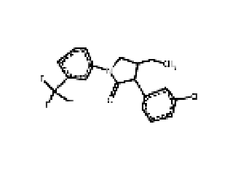 CCC1CN(c2cccc(C(F)(F)F)c2)C(=O)C1c1cccc(Cl)c1